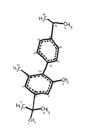 Cc1cc(C(C)(C)C)cc(C)c1-c1ccc(C(C)C)cc1